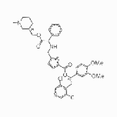 COc1ccc([C@H](Cc2c(Cl)cncc2Cl)OC(=O)c2ccc(CNC(C(=O)OC[C@@H]3CCCN(C)C3)c3ccccc3)s2)cc1OC